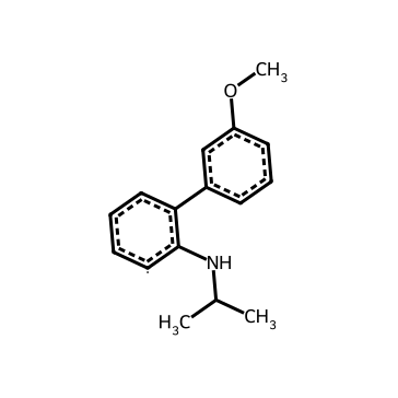 COc1cccc(-c2ccc[c]c2NC(C)C)c1